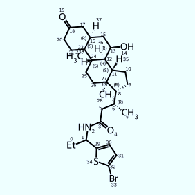 CCC(NC(=O)C[C@@H](C)[C@H]1CC[C@H]2[C@@H]3[C@H](O)C[C@@H]4CC(=O)CC[C@]4(C)[C@H]3CC[C@]12C)c1ccc(Br)s1